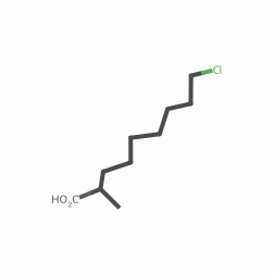 CC(CCCCCCCCl)C(=O)O